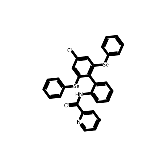 O=C(Nc1ccccc1-c1c([Se]c2ccccc2)cc(Cl)cc1[Se]c1ccccc1)c1ccccn1